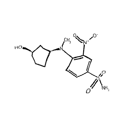 CN(c1ccc(S(N)(=O)=O)cc1[N+](=O)[O-])[C@H]1CC[C@@H](O)C1